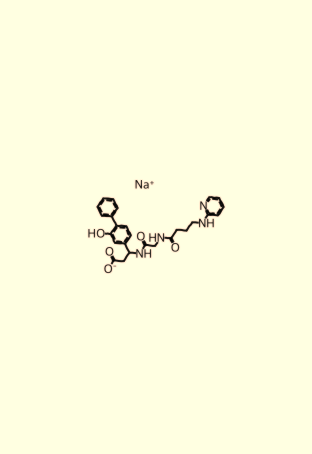 O=C([O-])CC(NC(=O)CNC(=O)CCCNc1ccccn1)c1ccc(-c2ccccc2)c(O)c1.[Na+]